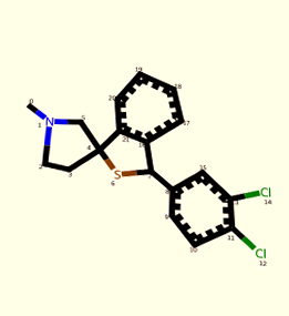 CN1CCC2(C1)SC(c1ccc(Cl)c(Cl)c1)c1ccccc12